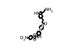 NCCc1c[nH]c2ccc(CCC(=O)N3CCN(c4ccc(NS(=O)(=O)c5ccc([N+](=O)[O-])cc5)cc4)CC3)cc12